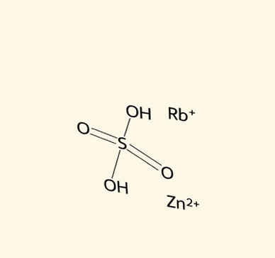 O=S(=O)(O)O.[Rb+].[Zn+2]